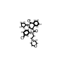 O=C(NCCN1CCOCC1)[C@@H]1c2ccccc2C(=O)N(C2CCCC2)[C@H]1c1ccc(Cl)cc1